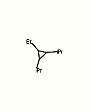 CCC1C(C(C)C)C1C(C)C